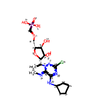 C=C([C@@H]1O[C@H](COCP(=O)(O)O)[C@@H](O)[C@H]1O)n1nc(Cl)nc(NC2CCCC2)/c1=N/C